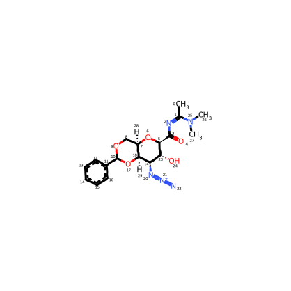 CC(=NC(=O)[C@@H]1O[C@@H]2COC(c3ccccc3)O[C@@H]2[C@H](N=[N+]=[N-])[C@H]1O)N(C)C